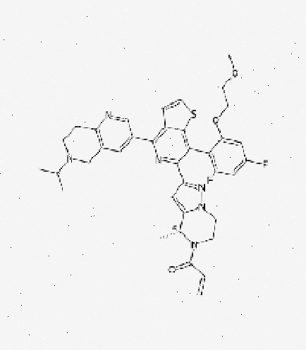 C=CC(=O)N1CCn2nc(-c3nc(-c4cnc5c(c4)CN(C(C)C)CC5)c4ccsc4c3-c3c(F)cc(F)cc3OCCOC)cc2[C@H]1C